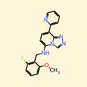 COc1cccc(F)c1CNc1ccc(-c2ccccn2)c2nncn12